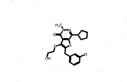 Cn1nc(C2CCCC2)c2sc(Cc3cccc(Cl)c3)c(OCCO)c2c1=O